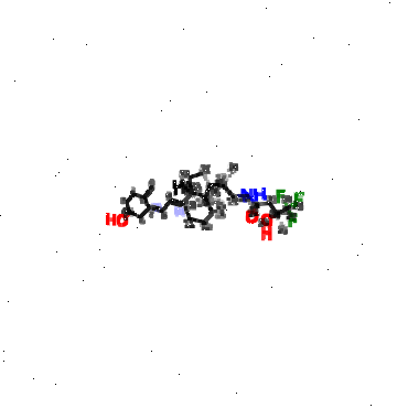 C=C1CC[C@H](O)C/C1=C/C=C1\CCC[C@]2(C)[C@@H]([C@H](C)CNC(=O)C[C@](C)(O)C(F)(F)F)CC[C@@H]12